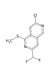 CSc1nc(C(F)F)cc2cnc(Cl)cc12